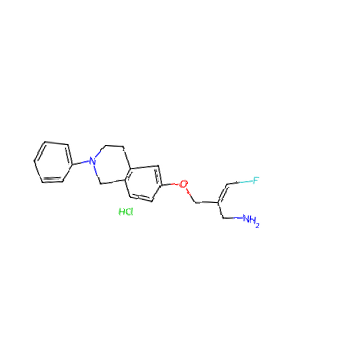 Cl.NCC(=CF)COc1ccc2c(c1)CCN(c1ccccc1)C2